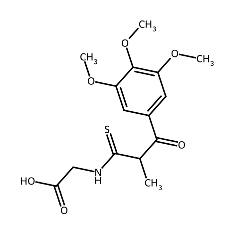 COc1cc(C(=O)C(C)C(=S)NCC(=O)O)cc(OC)c1OC